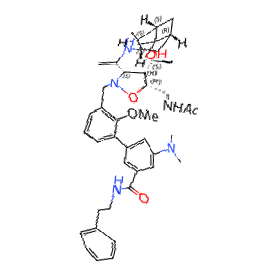 C=C(N[C@H]1C[C@H]2C[C@@H]([C@@H]1C)C2(C)C)[C@@H]1[C@H]([C@H](C)O)[C@H](CNC(C)=O)ON1Cc1cccc(-c2cc(C(=O)NCCc3ccccc3)cc(N(C)C)c2)c1OC